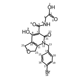 O=C(O)CNC(=O)c1c(O)c2c(n(Cc3ccc(Br)cc3)c1=O)COC2